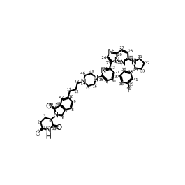 O=C1CCC(N2Cc3ccc(CCCN4CCN(c5cccc(-c6cnc7ccc(N8CCC[C@@H]8c8cccc(F)c8)nn67)n5)CC4)cc3C2=O)C(=O)N1